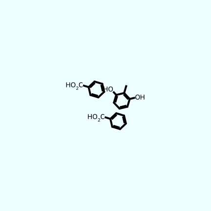 Cc1c(O)cccc1O.O=C(O)c1ccccc1.O=C(O)c1ccccc1